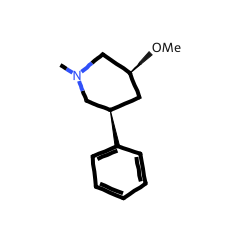 CO[C@H]1C[C@@H](c2ccccc2)CN(C)C1